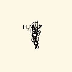 COc1ccc(S(=O)(=O)N2CCCC(NC(=O)[C@H](CC(C)C)NC(=O)C(N)=O)C(=O)C2)cc1